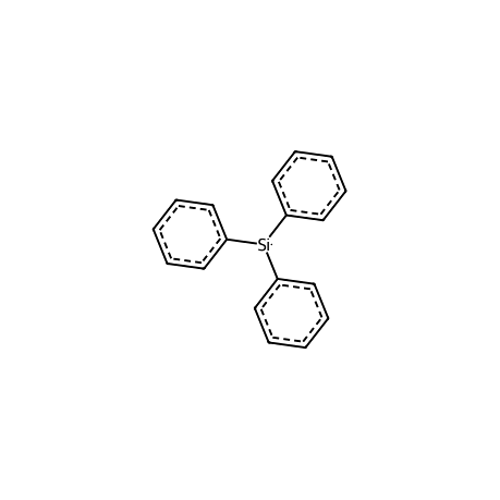 c1ccc([Si](c2ccccc2)c2ccccc2)cc1